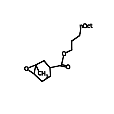 CCCCCCCCCCCOC(=O)C1CCC2OC2(C)C1